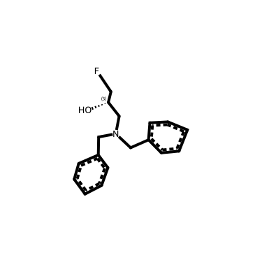 O[C@H](CF)CN(Cc1ccccc1)Cc1ccccc1